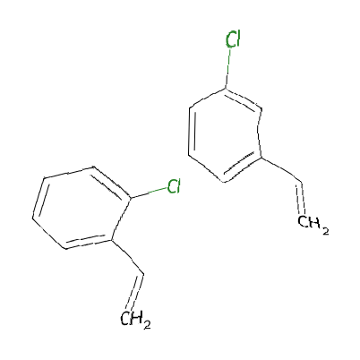 C=Cc1cccc(Cl)c1.C=Cc1ccccc1Cl